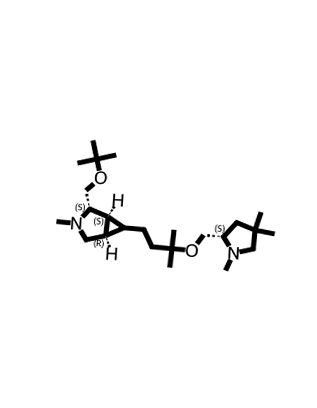 CN1CC(C)(C)C[C@H]1COC(C)(C)CCC1[C@H]2[C@@H]1CN(C)[C@@H]2COC(C)(C)C